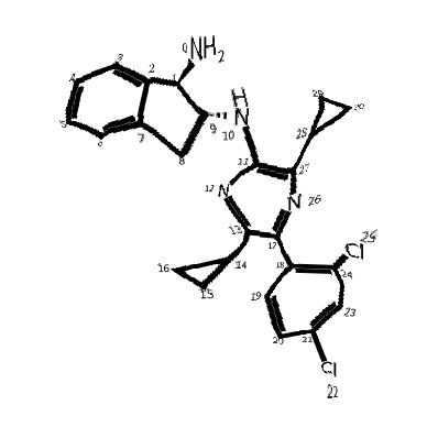 N[C@@H]1c2ccccc2C[C@H]1Nc1nc(C2CC2)c(-c2ccc(Cl)cc2Cl)nc1C1CC1